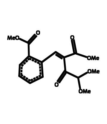 COC(=O)C(=Cc1ccccc1C(=O)OC)C(=O)C(OC)OC